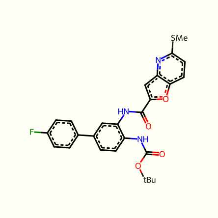 CSc1ccc2oc(C(=O)Nc3cc(-c4ccc(F)cc4)ccc3NC(=O)OC(C)(C)C)cc2n1